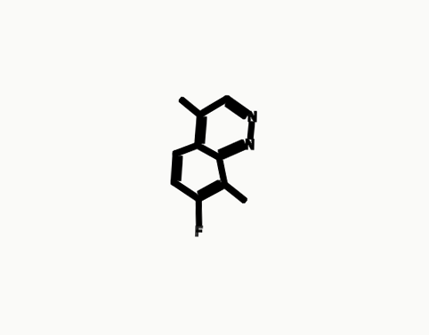 Cc1cnnc2c(C)c(F)ccc12